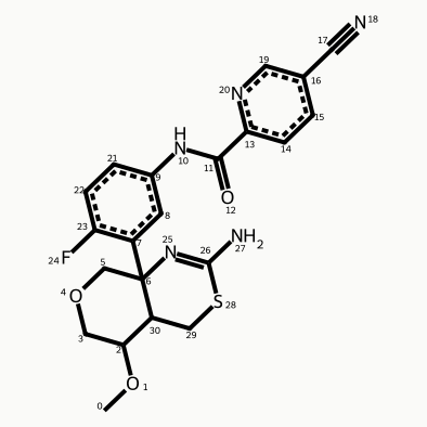 COC1COCC2(c3cc(NC(=O)c4ccc(C#N)cn4)ccc3F)N=C(N)SCC12